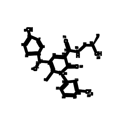 Cc1c([S+]([O-])c2ccc(C#N)cc2)cc(C(=O)NC[C@H](C)O)c(=O)n1-c1cccc(C(F)(F)F)c1